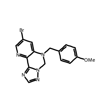 COc1ccc(CN2Cn3ncnc3-c3ncc(Br)cc32)cc1